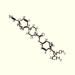 CN(C)c1ccc(CC(=O)N2CCN(c3ccc(C#N)nn3)CC2)cn1